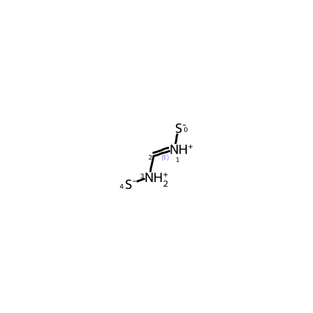 [S-]/[NH+]=C/[NH2+][S-]